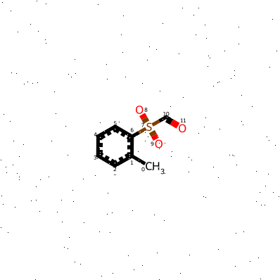 Cc1ccccc1S(=O)(=O)C=O